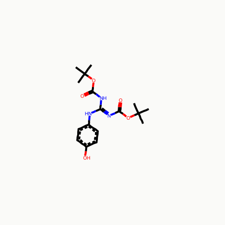 CC(C)(C)OC(=O)N=C(NC(=O)OC(C)(C)C)Nc1ccc(O)cc1